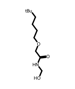 CC(C)(C)CCCCOCC(=O)NCO